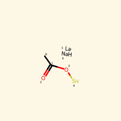 CC(=O)OS.[La].[NaH]